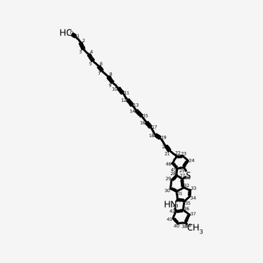 C#CC#CC#CC#CC#CC#CC#CC#CC#CC#CC#Cc1ccc2sc3c(ccc4c3ccc3c5cc(C)ccc5[nH]c34)c2c1